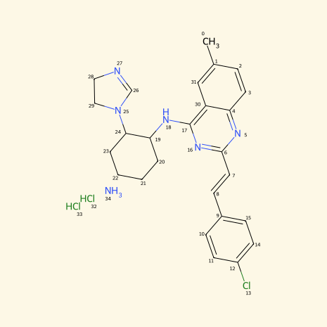 Cc1ccc2nc(C=Cc3ccc(Cl)cc3)nc(NC3CCCCC3N3C=NCC3)c2c1.Cl.Cl.N